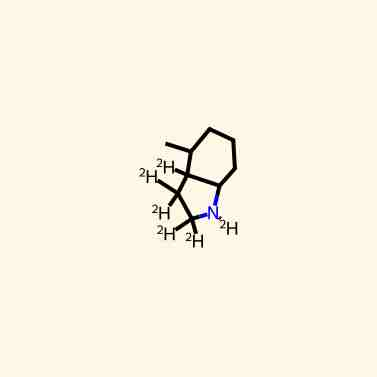 [2H]N1C2CCCC(C)C2([2H])C([2H])([2H])C1([2H])[2H]